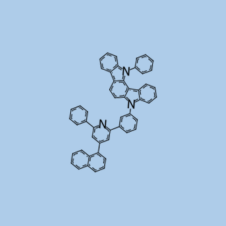 c1ccc(-c2cc(-c3cccc4ccccc34)cc(-c3cccc(-n4c5ccccc5c5c4ccc4c6ccccc6n(-c6ccccc6)c45)c3)n2)cc1